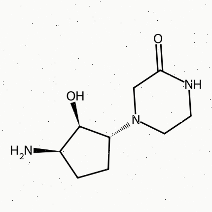 N[C@@H]1CC[C@@H](N2CCNC(=O)C2)[C@@H]1O